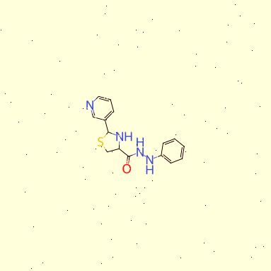 O=C(NNc1ccccc1)C1CSC(c2cccnc2)N1